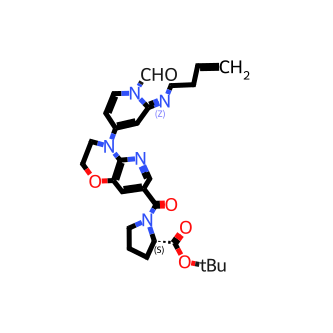 C=CCC/N=c1/cc(N2CCOc3cc(C(=O)N4CCC[C@H]4C(=O)OC(C)(C)C)cnc32)ccn1C=O